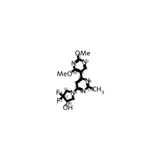 COc1ncc(-c2cc(N3C[C@H](O)C(F)(F)C3)nc(C)n2)c(OC)n1